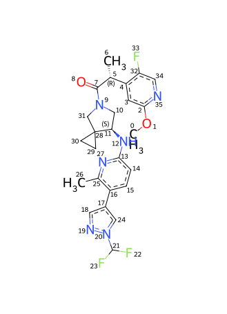 COc1cc([C@@H](C)C(=O)N2C[C@@H](Nc3ccc(-c4cnn(C(F)F)c4)c(C)n3)C3(CC3)C2)c(F)cn1